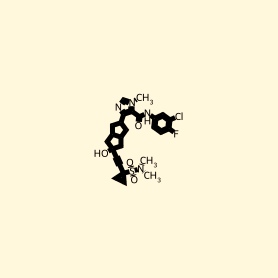 CN(C)S(=O)(=O)C1(C#CC2(O)CC3CC(c4ncn(C)c4C(=O)Nc4ccc(F)c(Cl)c4)CC3C2)CC1